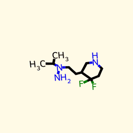 CC(C)N(N)CCC1CNCCC1(F)F